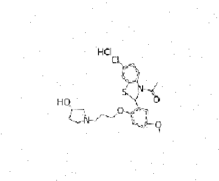 COc1ccc(OCCCN2CC[C@H](O)C2)c(C2Sc3cc(Cl)ccc3N2C(C)=O)c1.Cl